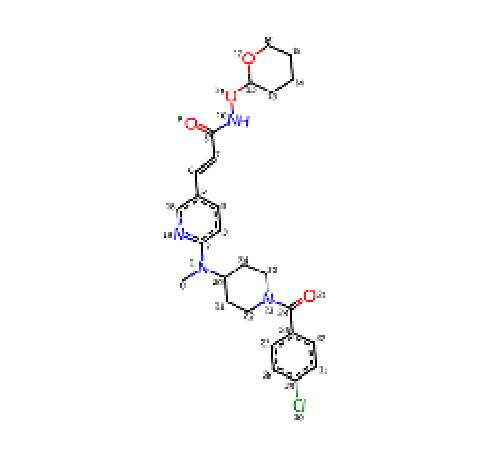 CN(c1ccc(C=CC(=O)NOC2CCCCO2)cn1)C1CCN(C(=O)c2ccc(Cl)cc2)CC1